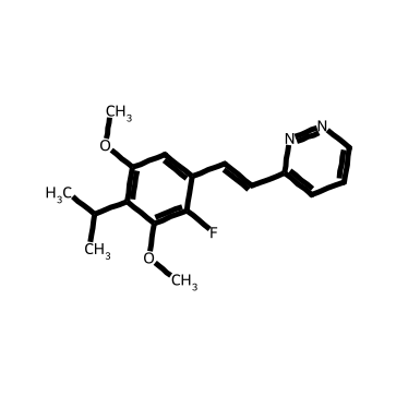 COc1cc(/C=C/c2cccnn2)c(F)c(OC)c1C(C)C